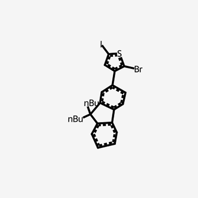 CCCCC1(CCCC)c2ccccc2-c2ccc(-c3cc(I)sc3Br)cc21